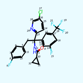 O=C(NC(Cc1ccc(F)cc1)(c1cc(F)cc(C(F)(F)F)c1)c1ccc(Cl)cn1)C1CC1